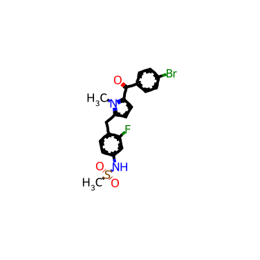 Cn1c(Cc2ccc(NS(C)(=O)=O)cc2F)ccc1C(=O)c1ccc(Br)cc1